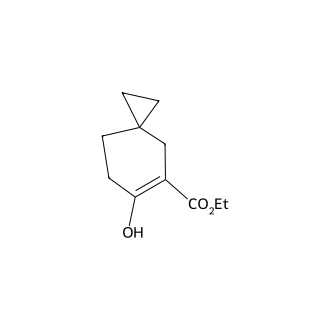 CCOC(=O)C1=C(O)CCC2(CC2)C1